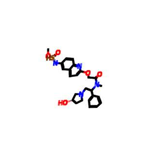 CO[SH](=O)=Nc1ccc2nc(OCC(=O)N(C)C(CN3CC[C@H](O)C3)c3ccccc3)ccc2c1